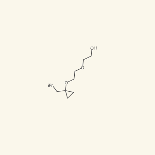 CC(C)CC1(OCCOCCO)CC1